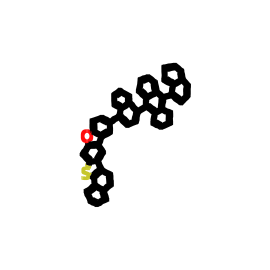 c1ccc2c(-c3c4ccccc4c(-c4ccc(-c5ccc6oc7cc8sc9c%10ccccc%10ccc9c8cc7c6c5)c5ccccc45)c4ccccc34)cccc2c1